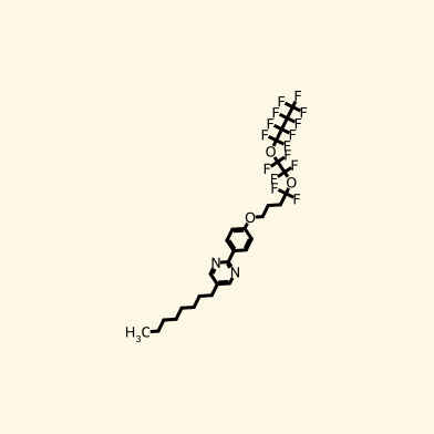 CCCCCCCCc1cnc(-c2ccc(OCCCC(F)(F)OC(F)(F)C(F)(F)OC(F)(F)C(F)(F)C(F)(F)C(F)(F)F)cc2)nc1